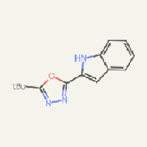 CC(C)(C)c1nnc(-c2cc3ccccc3[nH]2)o1